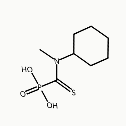 CN(C(=S)P(=O)(O)O)C1CCCCC1